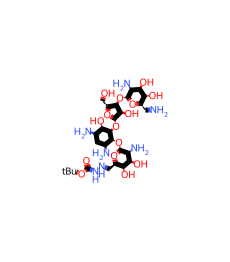 CC(C)(C)OC(=O)NNC[C@H]1O[C@H](O[C@H]2[C@H](O[C@@H]3O[C@H](CO)[C@@H](O[C@H]4O[C@@H](CN)[C@@H](O)[C@H](O)[C@H]4N)[C@H]3O)[C@@H](O)[C@H](N)C[C@@H]2N)[C@H](N)[C@@H](O)[C@@H]1O